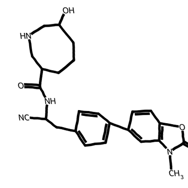 Cn1c(=O)oc2ccc(-c3ccc(CC(C#N)NC(=O)C4CCCC(O)CNC4)cc3)cc21